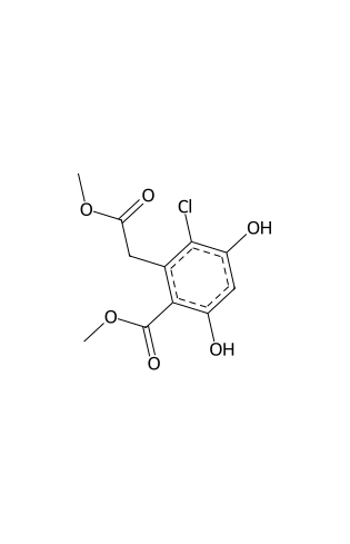 COC(=O)Cc1c(Cl)c(O)cc(O)c1C(=O)OC